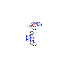 Cc1cnc(-c2ccc(-c3ccc(NC(=O)Nc4ccc5ccccc5n4)cc3F)c3c2C(=O)NC3)[nH]1